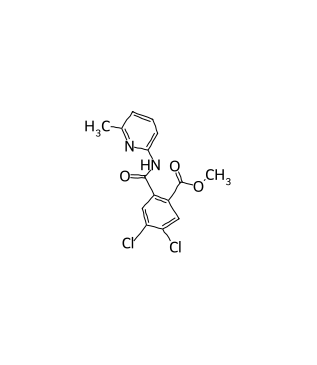 COC(=O)c1cc(Cl)c(Cl)cc1C(=O)Nc1cccc(C)n1